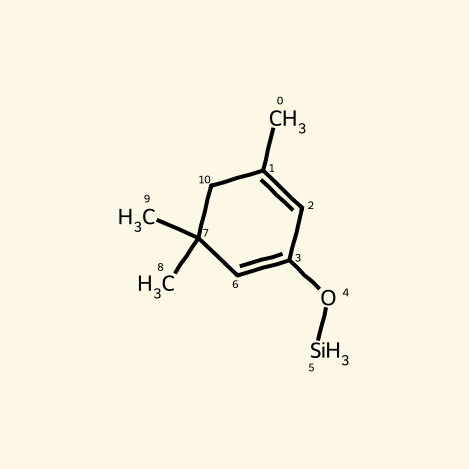 CC1=CC(O[SiH3])=CC(C)(C)C1